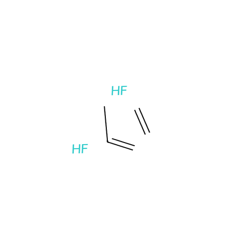 C=C.C=CC.F.F